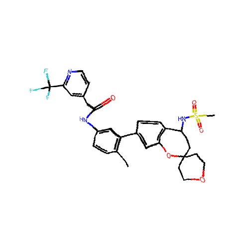 Cc1ccc(NC(=O)c2ccnc(C(F)(F)F)c2)cc1-c1ccc2c(c1)OC1(CCOCC1)CC2NS(C)(=O)=O